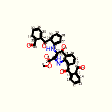 COC(=O)c1[nH]c2c(C(=O)c3ccccc3C=O)cccc2c(=O)c1Nc1ccccc1C(=O)c1ccccc1C=O